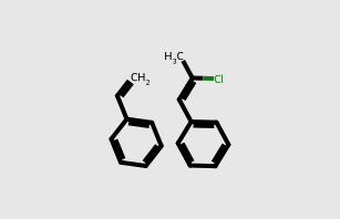 C=Cc1ccccc1.CC(Cl)=Cc1ccccc1